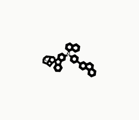 c1ccc2c(c1)-c1cc(N(c3ccc(-c4ccc5c(ccc6ccccc65)c4)cc3)c3cccc4ccccc34)ccc1C21C2CC3CC4CC1C4(C3)C2